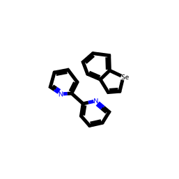 c1ccc(-c2ccccn2)nc1.c1ccc2[se]ccc2c1